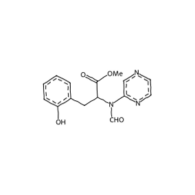 COC(=O)C(Cc1ccccc1O)N(C=O)c1cnccn1